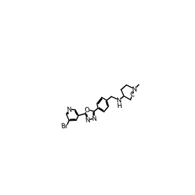 CN1CCC(NCc2ccc(-c3nnc(-c4cncc(Br)c4)o3)cc2)CC1